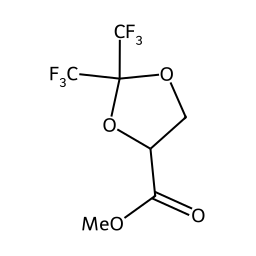 COC(=O)C1COC(C(F)(F)F)(C(F)(F)F)O1